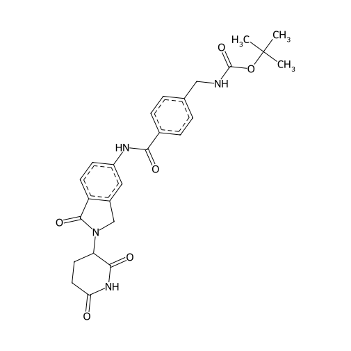 CC(C)(C)OC(=O)NCc1ccc(C(=O)Nc2ccc3c(c2)CN(C2CCC(=O)NC2=O)C3=O)cc1